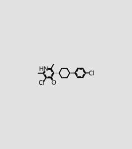 Cc1[nH]c(C)c([C@H]2CC[C@H](c3ccc(Cl)cc3)CC2)c(=O)c1Cl